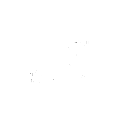 CC(=O)c1cn(CC(=O)N2C[C@H](F)C[C@H]2C(=O)O)c2cc(OCc3nnn[nH]3)ccc12